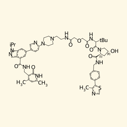 Cc1cc(C)c(CNC(=O)c2cc(-c3ccc(N4CCN(CCNC(=O)COCC(=O)NC(C(=O)N5C[C@H](O)C[C@H]5C(=O)NCc5ccc(-c6scnc6C)cc5)C(C)(C)C)CC4)nc3)cc3c2cnn3C(C)C)c(=O)[nH]1